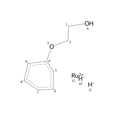 OCCOc1ccccc1.[H-].[H-].[Ru+2]